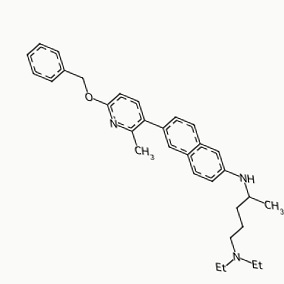 CCN(CC)CCCC(C)Nc1ccc2cc(-c3ccc(OCc4ccccc4)nc3C)ccc2c1